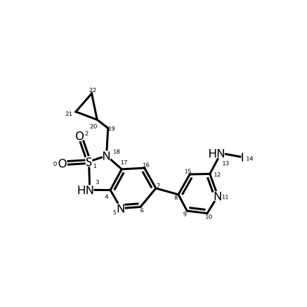 O=S1(=O)Nc2ncc(-c3ccnc(NI)c3)cc2N1CC1CC1